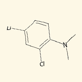 [Li][c]1ccc(N(C)C)c(Cl)c1